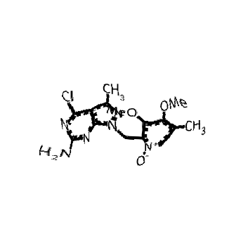 COc1c(C)c[n+]([O-])c(Cn2nc(C)c3c(Cl)nc(N)nc32)c1OC